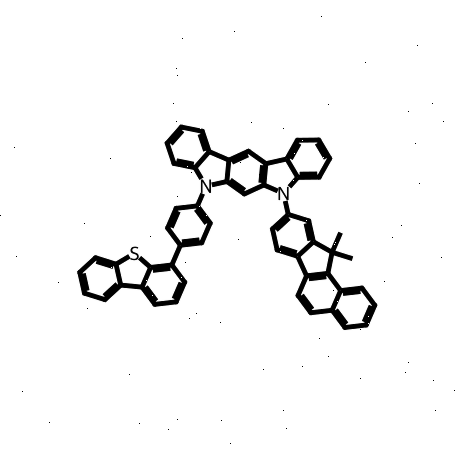 CC1(C)c2cc(-n3c4ccccc4c4cc5c6ccccc6n(-c6ccc(-c7cccc8c7sc7ccccc78)cc6)c5cc43)ccc2-c2ccc3ccccc3c21